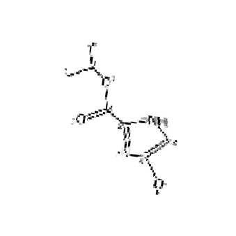 CC(C)OC(=O)c1nc([O])c[nH]1